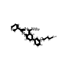 CNc1nc(-c2cccnc2)nc2ccc(-c3cccc(OCCCI)c3)cc12